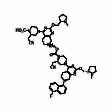 CN1CCCC1COc1nc2c(c(N3CCN(C(=O)O)C(CC#N)C3)n1)CCNC2.CN1CCC[C@H]1COc1nc2c(c(N3CCN(C(=O)OC(C)(C)C)C(CC#N)C3)n1)CCN(c1cccc3c(F)cccc13)C2